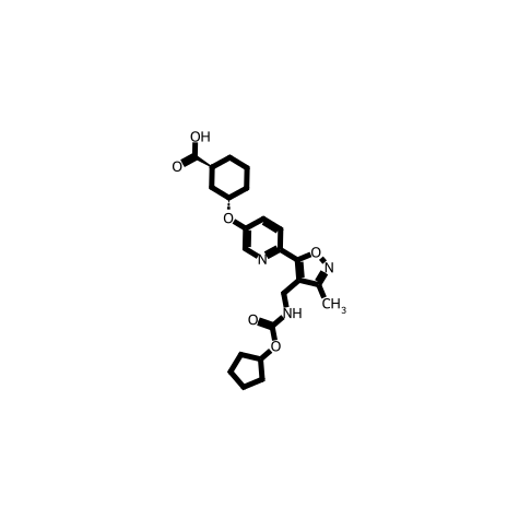 Cc1noc(-c2ccc(O[C@H]3CCC[C@H](C(=O)O)C3)cn2)c1CNC(=O)OC1CCCC1